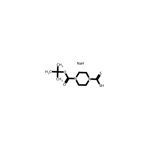 CC(C)(C)OC(=O)N1CCN(C(=S)S)CC1.[NaH]